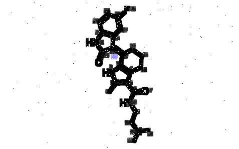 Cc1[nH]c2c(c1C(=O)NCCN(C)C)CCC/C2=C1/C(=O)Nc2ccc(F)cc21